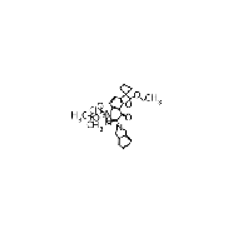 CCOC(=O)C1(c2ccc(NC(=O)OC(C)(C)C)c(C(=O)C(=O)N3Cc4ccccc4C3)c2)CCC1